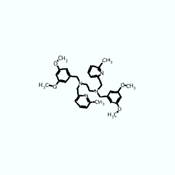 COc1cc(CN(CCN(Cc2cc(OC)cc(OC)c2)Cc2cccc(C)n2)Cc2cccc(C)n2)cc(OC)c1